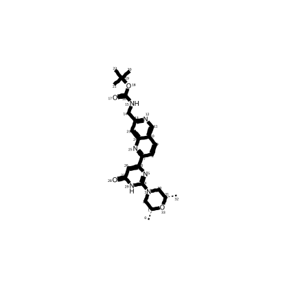 C[C@@H]1CN(c2nc(-c3ccc4cnc(CNC(=O)OC(C)(C)C)cc4n3)cc(=O)[nH]2)C[C@H](C)O1